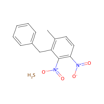 Cc1ccc([N+](=O)[O-])c([N+](=O)[O-])c1Cc1ccccc1.S